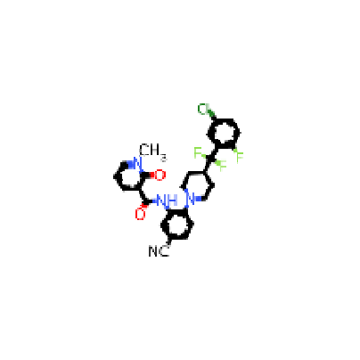 Cn1cccc(C(=O)Nc2cc(C#N)ccc2N2CCC(C(F)(F)c3cc(Cl)ccc3F)CC2)c1=O